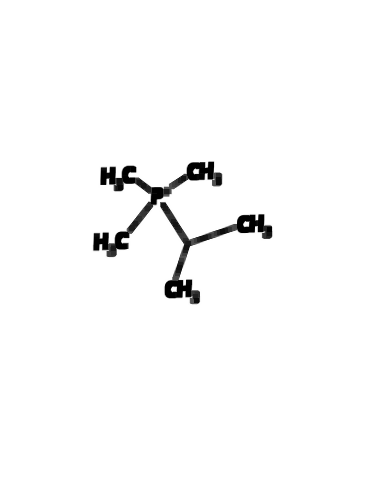 CC(C)[P+](C)(C)C